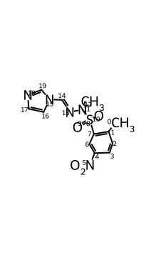 Cc1ccc([N+](=O)[O-])cc1S(=O)(=O)N(C)N=Cn1ccnc1